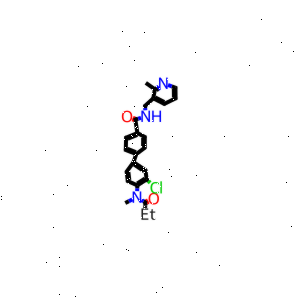 CCC(=O)N(C)c1ccc(-c2ccc(C(=O)NCc3cccnc3C)cc2)cc1Cl